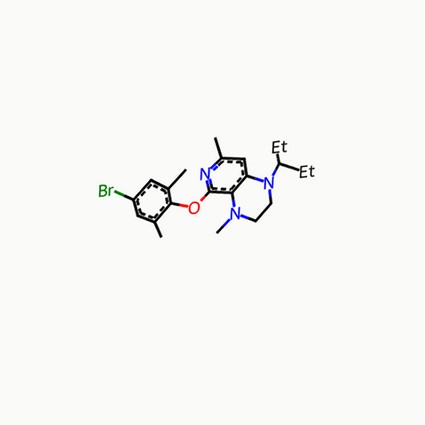 CCC(CC)N1CCN(C)c2c1cc(C)nc2Oc1c(C)cc(Br)cc1C